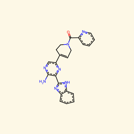 Nc1ncc(C2=CCN(C(=O)c3ccccn3)CC2)nc1-c1nc2ccccc2[nH]1